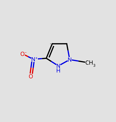 CN1C[C]=C([N+](=O)[O-])N1